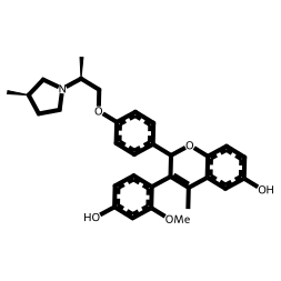 COc1cc(O)ccc1C1=C(C)c2cc(O)ccc2OC1c1ccc(OC[C@H](C)N2CC[C@@H](C)C2)cc1